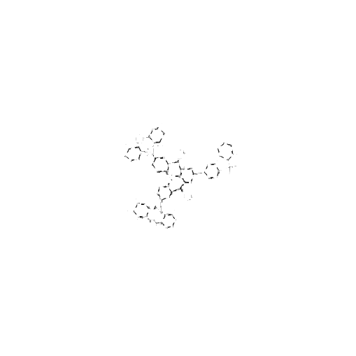 CC1(C)c2ccccc2-c2cc(-c3cc4c(=O)c5cc(N6c7ccccc7Oc7ccccc76)ccc5n5c6ccc(N7c8ccccc8Oc8ccccc87)cc6c(=O)c(c3)c45)ccc21